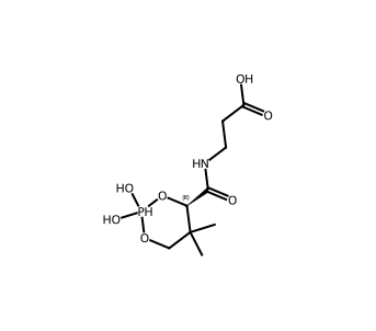 CC1(C)CO[PH](O)(O)O[C@H]1C(=O)NCCC(=O)O